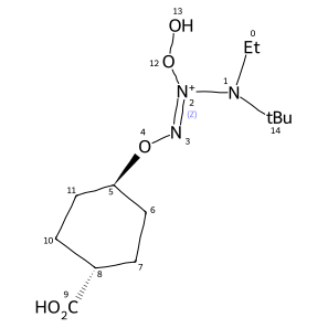 CCN(/[N+](=N/O[C@H]1CC[C@H](C(=O)O)CC1)OO)C(C)(C)C